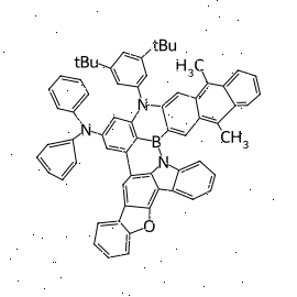 Cc1c2ccccc2c(C)c2cc3c(cc12)B1c2c(cc(N(c4ccccc4)c4ccccc4)cc2N3c2cc(C(C)(C)C)cc(C(C)(C)C)c2)-c2cc3c4ccccc4oc3c3c4ccccc4n1c23